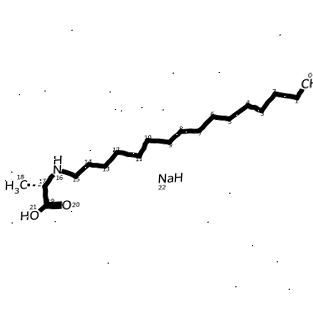 CCCCCCCCCCCCCCCCN[C@@H](C)C(=O)O.[NaH]